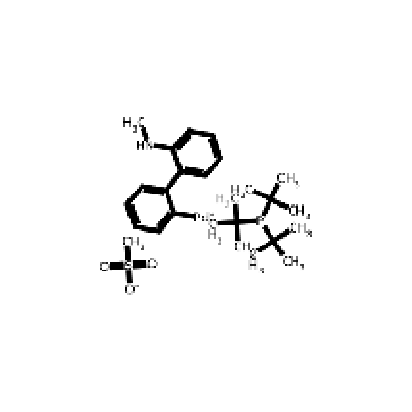 CC(C)(C)P(C(C)(C)C)C(C)(C)C.CNc1ccccc1-c1cccc[c]1[Pd+].CS(=O)(=O)[O-]